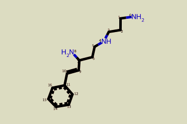 NCCCNCCC(N)C=Cc1ccccc1